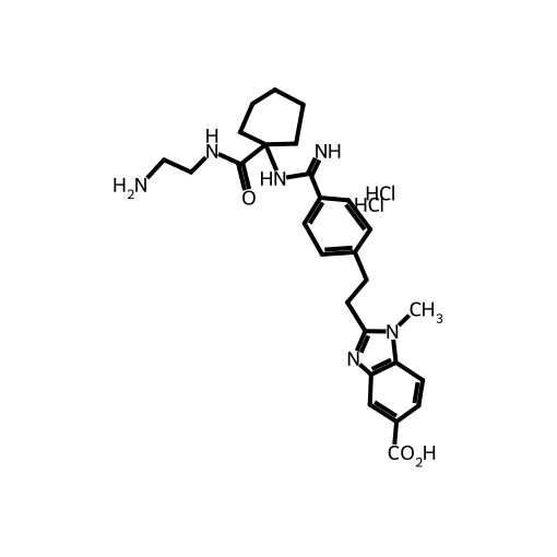 Cl.Cl.Cn1c(CCc2ccc(C(=N)NC3(C(=O)NCCN)CCCCC3)cc2)nc2cc(C(=O)O)ccc21